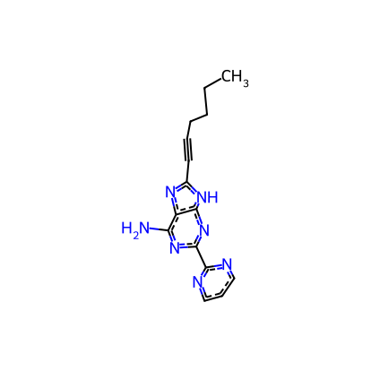 CCCCC#Cc1nc2c(N)nc(-c3ncccn3)nc2[nH]1